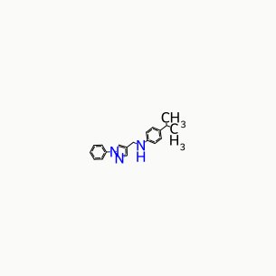 CC(C)c1ccc(NCc2cnn(-c3ccccc3)c2)cc1